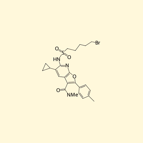 CNC(=O)c1c(-c2ccc(C)cc2)oc2nc(NS(=O)(=O)CCCCCBr)c(C3CC3)cc12